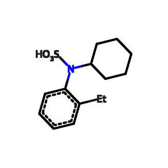 CCc1ccccc1N(C1CCCCC1)S(=O)(=O)O